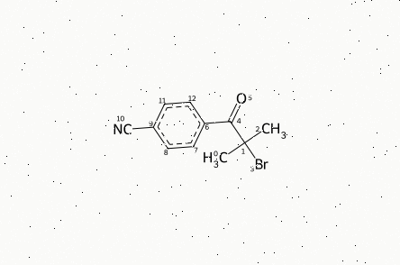 CC(C)(Br)C(=O)c1ccc(C#N)cc1